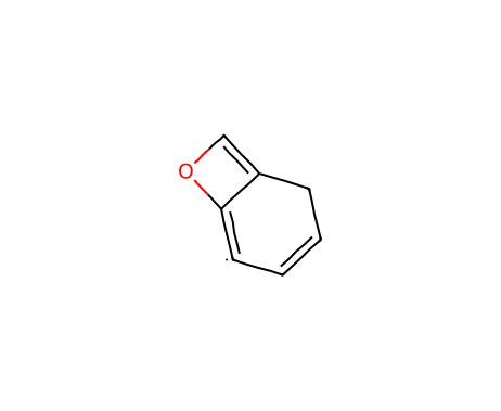 [C]1=C2OC=C2CC=C1